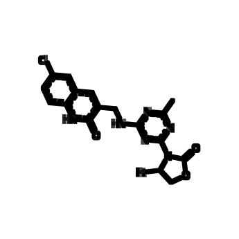 CCC1COC(=O)N1c1nc(C)nc(NCc2cc3cc(Cl)ccc3[nH]c2=O)n1